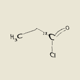 CC[11C](=O)Cl